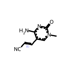 Cn1cc(/C=C/C#N)c(N)nc1=O